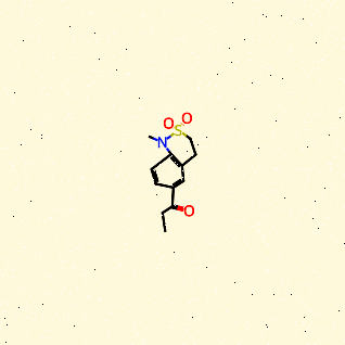 CCC(=O)c1ccc2c(c1)CCS(=O)(=O)N2C